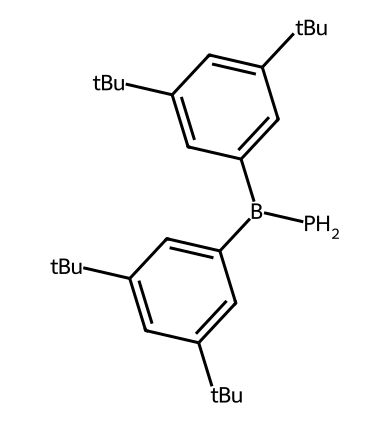 CC(C)(C)c1cc(B(P)c2cc(C(C)(C)C)cc(C(C)(C)C)c2)cc(C(C)(C)C)c1